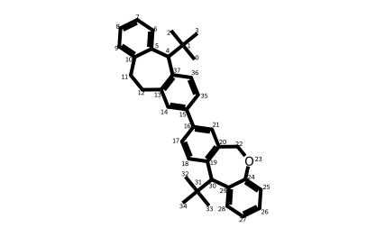 CC(C)(C)C1c2ccccc2CCc2cc(-c3ccc4c(c3)COc3ccccc3C4C(C)(C)C)ccc21